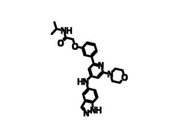 CC(C)NC(=O)COc1cccc(-c2cc(Nc3ccc4[nH]ncc4c3)cc(N3CCOCC3)n2)c1